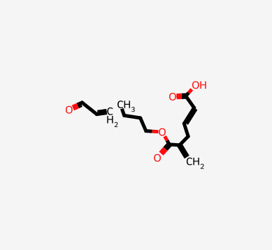 C=C(CC=CC(=O)O)C(=O)OCCCC.C=CC=O